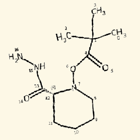 CC(C)(C)C(=O)ON1CCCC[C@@H]1C(=O)NN